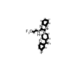 Fc1ccc(F)c(C(F)C2CCN(c3nc4ccccc4nc3NCCC(F)(F)F)CC2)c1